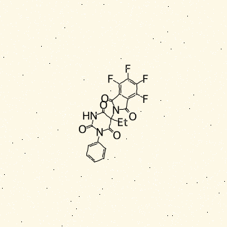 CCC1(N2C(=O)c3c(F)c(F)c(F)c(F)c3C2=O)C(=O)NC(=O)N(c2ccccc2)C1=O